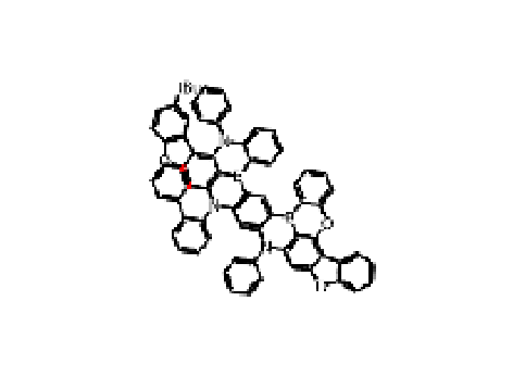 CC(C)(C)c1ccc2oc3cc4c5c(c3c2c1)N(c1ccccc1)c1ccccc1B5c1cc2c(cc1N4c1ccccc1-c1ccccc1)N(c1ccccc1)c1cc3oc4ccccc4c3c3c1B2c1ccccc1O3